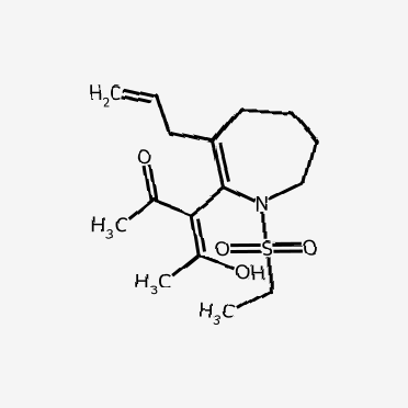 C=CCC1=C(C(C(C)=O)=C(C)O)N(S(=O)(=O)CC)CCCC1